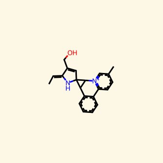 C/C=C1\NC2(C=C1CO)C1c3ccccc3-c3ccc(C)c[n+]3C12